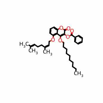 CCCCCCCCCCOc1c(OC(=O)c2ccccc2)c(=O)oc2cccc(OCC=C(C)CCC=C(C)C)c12